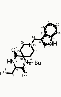 CCCCN1C(=O)C(CC(C)C)NC(=O)C12CCN(Cc1c[nH]c3ccccc13)CC2